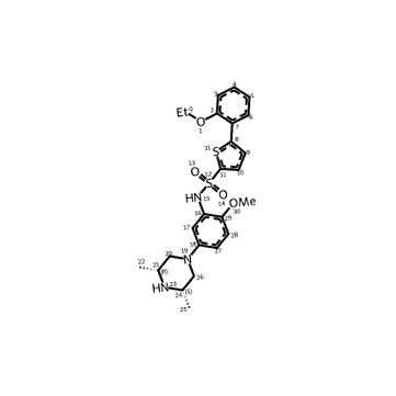 CCOc1ccccc1-c1ccc(S(=O)(=O)Nc2cc(N3C[C@@H](C)N[C@@H](C)C3)ccc2OC)s1